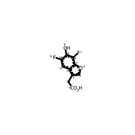 O=C(O)Cc1coc2c(F)c(O)c(F)cc12